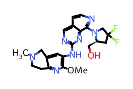 COc1nc2c(cc1Nc1ncc3ccnc(N4CC(F)(F)C[C@H]4CO)c3n1)CN(C)CC2